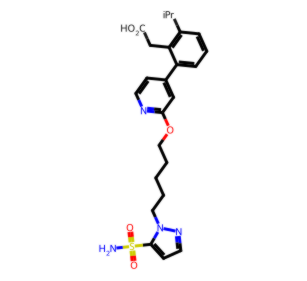 CC(C)c1cccc(-c2ccnc(OCCCCCn3nccc3S(N)(=O)=O)c2)c1CC(=O)O